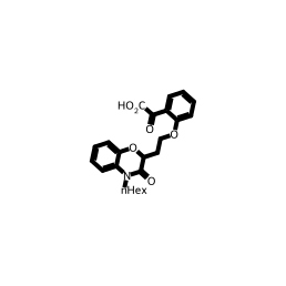 CCCCCCN1C(=O)C(CCOc2ccccc2C(=O)C(=O)O)Oc2ccccc21